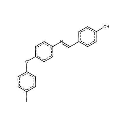 Cc1ccc(Oc2ccc(N=Cc3ccc(O)cc3)cc2)cc1